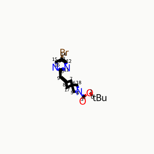 CC(C)(C)OC(=O)N1CC2(CC(=Cc3ncc(Br)cn3)C2)C1